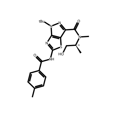 Cc1ccc(C(=O)Nc2nc3c(s2)c(C(=O)N(C)[C@@H](C)CO)nn3C(C)(C)C)cc1